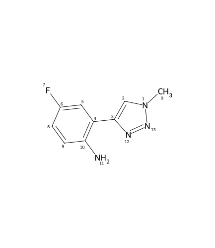 Cn1cc(-c2cc(F)ccc2N)nn1